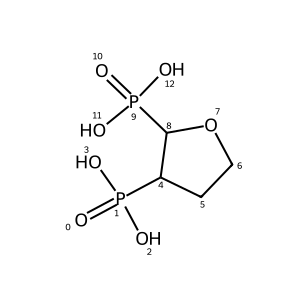 O=P(O)(O)C1CCOC1P(=O)(O)O